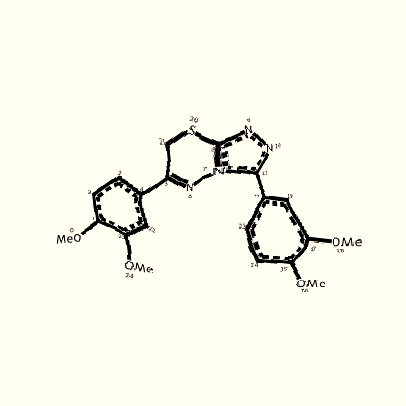 COc1ccc(C2=Nn3c(nnc3-c3ccc(OC)c(OC)c3)SC2)cc1OC